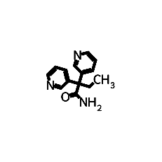 CCC(C(N)=O)(c1cccnc1)c1cccnc1